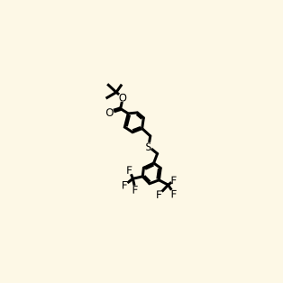 CC(C)(C)OC(=O)c1ccc(CSCc2cc(C(F)(F)F)cc(C(F)(F)F)c2)cc1